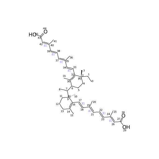 CC[C@]1(C)CCC(C(C)[C@]2(C)CCCC(C)=C2/C=C/C(C)=C/C=C/C(C)=C/C(=O)O)C(C)=C1/C=C/C(C)=C/C=C/C(C)=C/C(=O)O